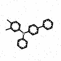 Cc1ccc(N(c2ccccc2)c2ccc(-c3ccccc3)cc2)cc1C